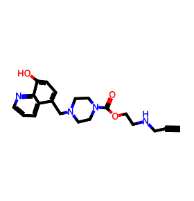 C#CCNCCOC(=O)N1CCN(Cc2ccc(O)c3ncccc23)CC1